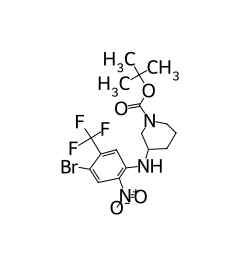 CC(C)(C)OC(=O)N1CCCC(Nc2cc(C(F)(F)F)c(Br)cc2[N+](=O)[O-])C1